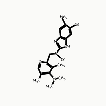 Cc1cnc(C[S+]([O-])c2nc3cc(N)c(Br)cc3[nH]2)c(C)c1N(C)C